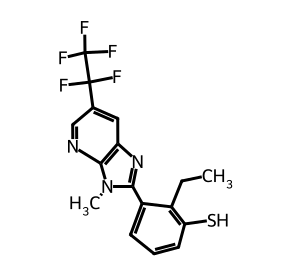 CCc1c(S)cccc1-c1nc2cc(C(F)(F)C(F)(F)F)cnc2n1C